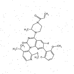 C=CC(=O)N1CCN(c2nc(=O)n(-c3c(C(C)C)ccnc3SC)c3nc(-c4c(F)cccc4OC)c(F)cc23)C(C)C1